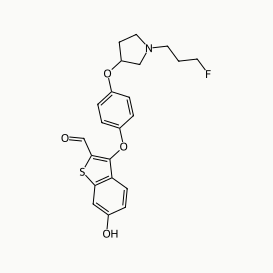 O=Cc1sc2cc(O)ccc2c1Oc1ccc(OC2CCN(CCCF)C2)cc1